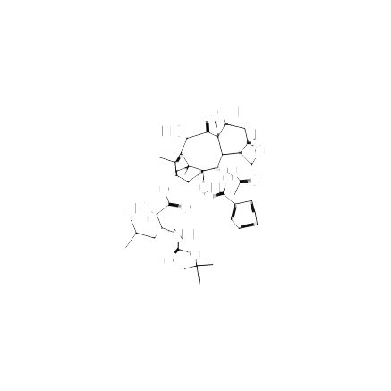 CC(=O)O[C@@]12CO[C@@H]1C[C@H](O)[C@@]1(C)C(=O)[C@H](O)C3=C(C)[C@@H](OC(=O)[C@H](O)[C@H](CC(C)C)NC(=O)OC(C)(C)C)C[C@@](O)([C@@H](OC(=O)c4ccccc4)C12)C3(C)C